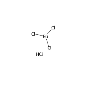 Cl.[Cl][Eu]([Cl])[Cl]